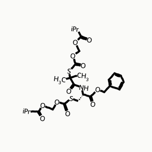 CC(C)C(=O)OCOC(=O)SC[C@H](NC(=O)C(C)(C)SC(=O)OCOC(=O)C(C)C)C(=O)OCc1ccccc1